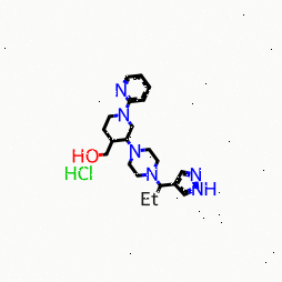 CCC(c1cn[nH]c1)N1CCN(C2CN(c3ccccn3)CCC2CO)CC1.Cl